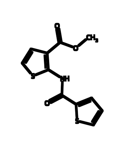 COC(=O)c1ccsc1NC(=O)c1cccs1